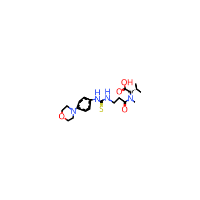 CC(C)[C@@H](C(=O)O)N(C)C(=O)CCNC(=S)Nc1ccc(N2CCOCC2)cc1